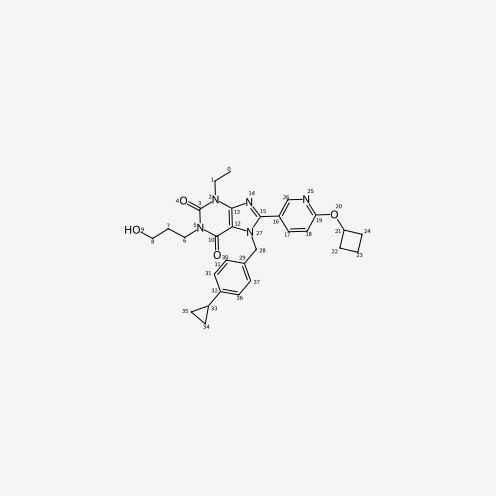 CCn1c(=O)n(CCCO)c(=O)c2c1nc(-c1ccc(OC3CCC3)nc1)n2Cc1ccc(C2CC2)cc1